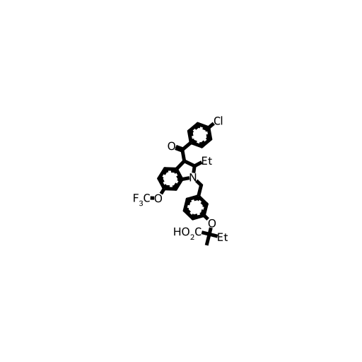 CCC1C(C(=O)c2ccc(Cl)cc2)c2ccc(OC(F)(F)F)cc2N1Cc1cccc(OC(C)(CC)C(=O)O)c1